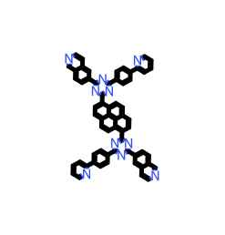 c1ccc(-c2ccc(-c3nc(-c4ccc5cnccc5c4)nc(-c4ccc5ccc6c(-c7nc(-c8ccc(-c9ccccn9)cc8)nc(-c8ccc9cnccc9c8)n7)ccc7ccc4c5c76)n3)cc2)nc1